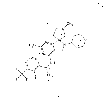 Cc1nc(N[C@H](C)c2cccc(C(F)(F)F)c2F)c2c(n1)C1(CCN(C)C1)N(C1CCOCC1)C2